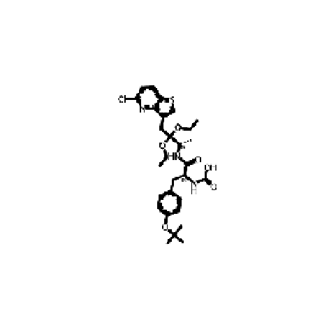 CCOC(Cc1csc2ccc(Cl)nc12)(OCC)[C@H](C)NC(=O)[C@H](Cc1ccc(OC(C)(C)C)cc1)NC(=O)O